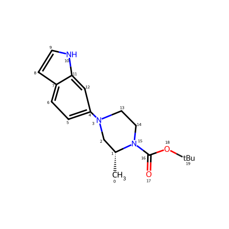 C[C@@H]1CN(c2ccc3cc[nH]c3c2)CCN1C(=O)OC(C)(C)C